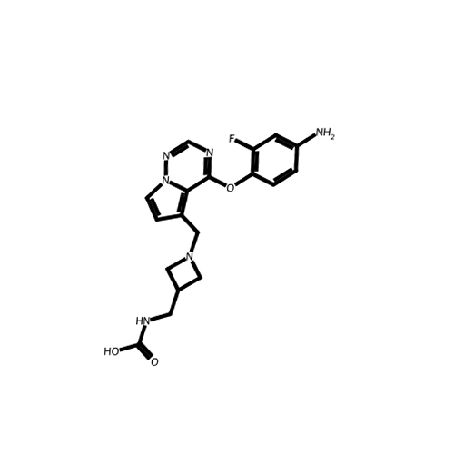 Nc1ccc(Oc2ncnn3ccc(CN4CC(CNC(=O)O)C4)c23)c(F)c1